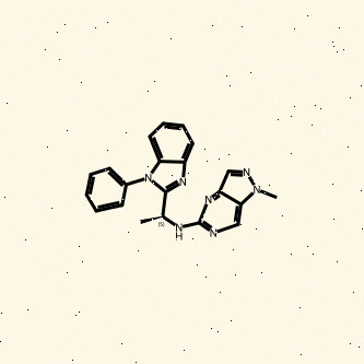 C[C@H](Nc1ncc2c(cnn2C)n1)c1nc2ccccc2n1-c1ccccc1